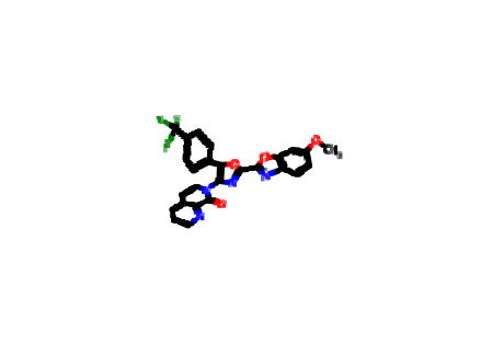 COc1ccc2nc(-c3nc(-n4ccc5cccnc5c4=O)c(-c4ccc(C(F)(F)F)cc4)o3)oc2c1